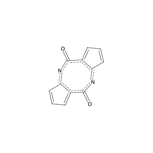 O=c1nc2c(c(=O)nc3c1=CC=C3)=CC=C2